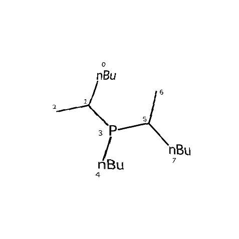 CCCCC(C)P(CCCC)C(C)CCCC